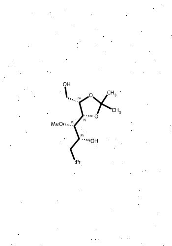 CO[C@H]([C@H]1OC(C)(C)O[C@H]1CO)[C@H](O)CC(C)C